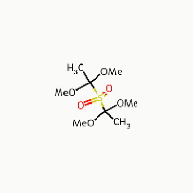 COC(C)(OC)S(=O)(=O)C(C)(OC)OC